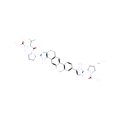 COC[C@H]1C[C@@H](c2ncc(-c3ccc4c(c3)COc3cc5c(cc3-4)CCc3nc([C@@H]4CCCN4C(=O)[C@@H](NC(=O)OC)C(C)C)[nH]c3-5)[nH]2)N(C(=O)O)C1